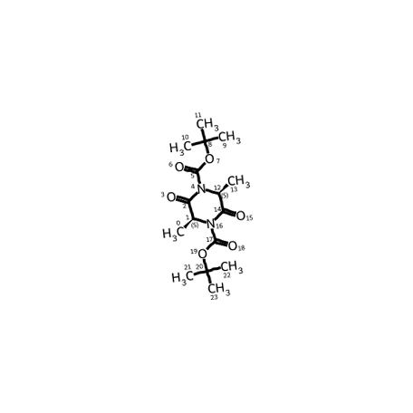 C[C@H]1C(=O)N(C(=O)OC(C)(C)C)[C@@H](C)C(=O)N1C(=O)OC(C)(C)C